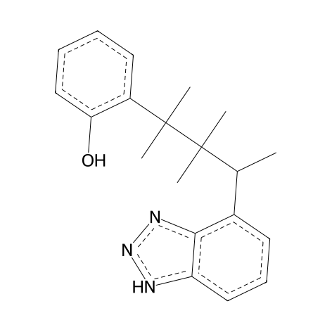 CC(c1cccc2[nH]nnc12)C(C)(C)C(C)(C)c1ccccc1O